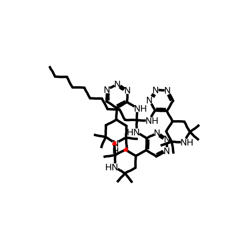 CCCCCCCCCCC(Nc1nnncc1C1CC(C)(C)NC(C)(C)C1)(Nc1nnncc1C1CC(C)(C)NC(C)(C)C1)Nc1nnncc1C1CC(C)(C)NC(C)(C)C1